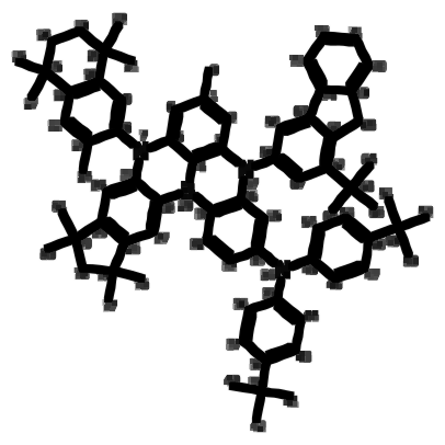 Cc1cc2c3c(c1)N(c1cc4c(cc1C)C(C)(C)CCC4(C)C)c1cc4c(cc1B3c1ccc(N(c3ccc(C(C)(C)C)cc3)c3ccc(C(C)(C)C)cc3)cc1N2c1cc2c(c(C(C)(C)C)c1)Cc1ccccc1-2)C(C)(C)CC4(C)C